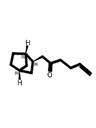 C=CCCC(=O)C[C@H]1C[C@@H]2CC[C@H]1C2